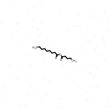 CCCCCCCCC(=O)OC(=O)CCCC